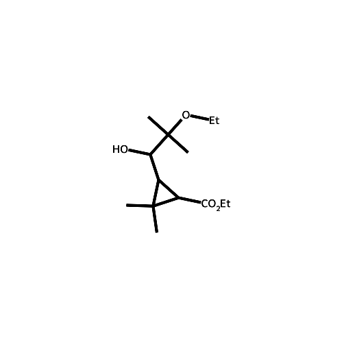 CCOC(=O)C1C(C(O)C(C)(C)OCC)C1(C)C